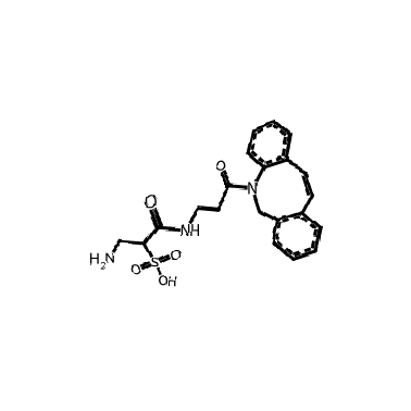 NCC(C(=O)NCCC(=O)N1Cc2ccccc2/C=C\c2ccccc21)S(=O)(=O)O